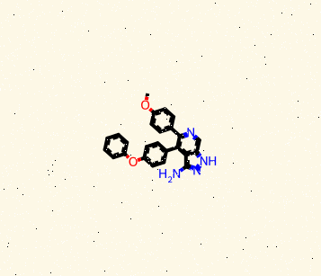 COc1ccc(-c2ncc3[nH]nc(N)c3c2-c2ccc(Oc3ccccc3)cc2)cc1